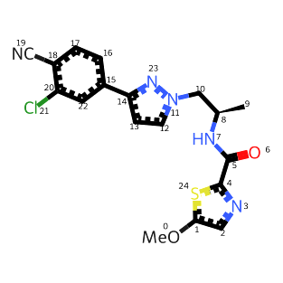 COc1cnc(C(=O)N[C@H](C)Cn2ccc(-c3ccc(C#N)c(Cl)c3)n2)s1